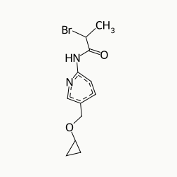 CC(Br)C(=O)Nc1ccc(COC2CC2)cn1